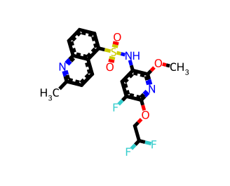 COc1nc(OCC(F)F)c(F)cc1NS(=O)(=O)c1cccc2nc(C)ccc12